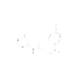 CC[N]([Hf+2][N](CC)C(=O)c1ccc(C)cc1)C(=O)c1ccc(C)cc1.[F-].[F-]